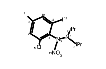 CC(C)N(C(C)C)N(c1c(Cl)cc(I)cc1I)[N+](=O)[O-]